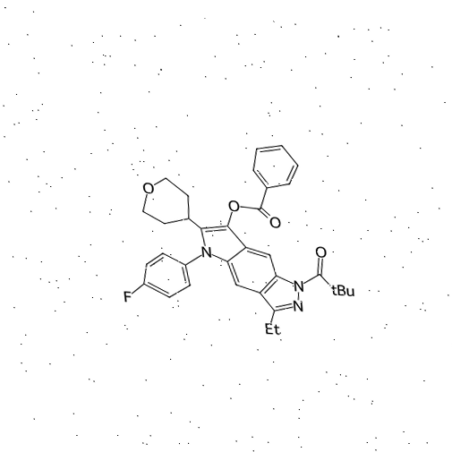 CCc1nn(C(=O)C(C)(C)C)c2cc3c(OC(=O)c4ccccc4)c(C4CCOCC4)n(-c4ccc(F)cc4)c3cc12